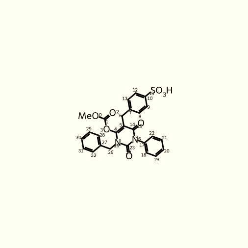 COC(=O)Oc1c(Cc2ccc(S(=O)(=O)O)cc2)c(=O)n(-c2ccccc2)c(=O)n1Cc1ccccc1